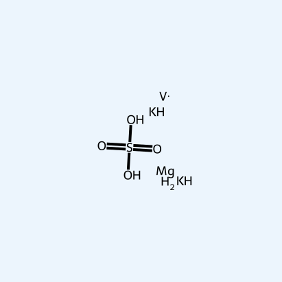 O=S(=O)(O)O.[KH].[KH].[MgH2].[V]